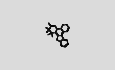 CC1CC2C(=C3Cc4ccccc4C3=C3C=CCCC32)C(C)(C)C1(C)C